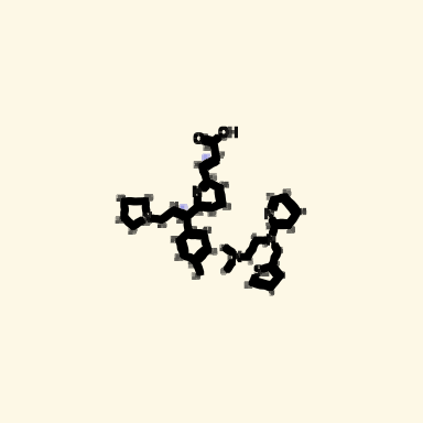 CN(C)CCN(Cc1cccs1)c1ccccn1.Cc1ccc(/C(=C\CN2CCCC2)c2cccc(/C=C/C(=O)O)n2)cc1